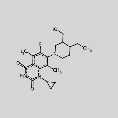 CCC1CCN(c2c(F)c(C)c3c(=O)[nH]c(=O)n(C4CC4)c3c2C)CC1CO